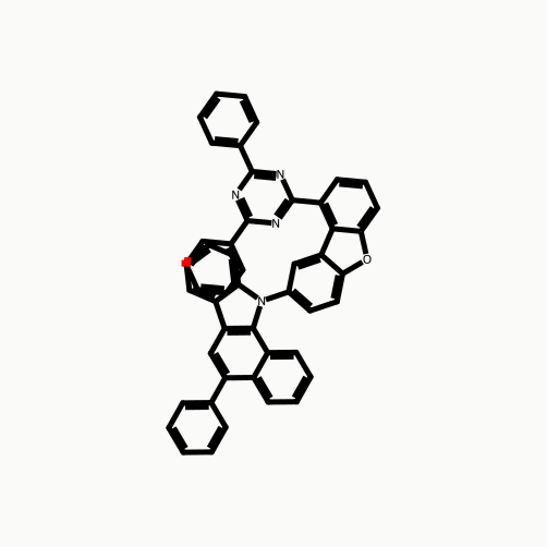 c1ccc(-c2nc(-c3ccccc3)nc(-c3cccc4oc5ccc(-n6c7ccccc7c7cc(-c8ccccc8)c8ccccc8c76)cc5c34)n2)cc1